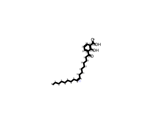 CCCCCCCC/C=C\CCCCCCCC(=O)c1cccc(C(=O)O)c1O